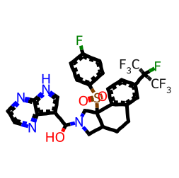 O=S(=O)(c1ccc(F)cc1)C12CN(C(O)c3c[nH]c4nccnc34)CC1CCc1cc(C(F)(C(F)(F)F)C(F)(F)F)ccc12